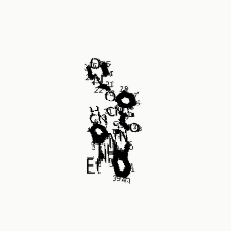 CCNc1ccc(C#N)cc1N=C1SC(=C2Sc3cccc(OCCN4CCOCC4)c3N2C)C(=O)N1Cc1ccccc1